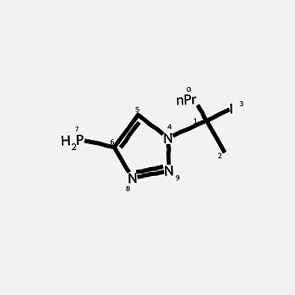 CCCC(C)(I)n1cc(P)nn1